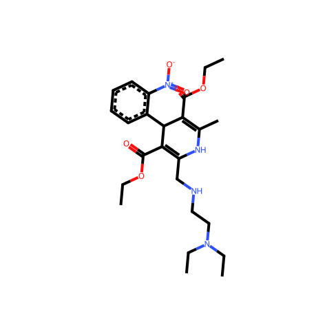 CCOC(=O)C1=C(C)NC(CNCCN(CC)CC)=C(C(=O)OCC)C1c1ccccc1[N+](=O)[O-]